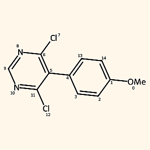 COc1ccc(-c2c(Cl)ncnc2Cl)cc1